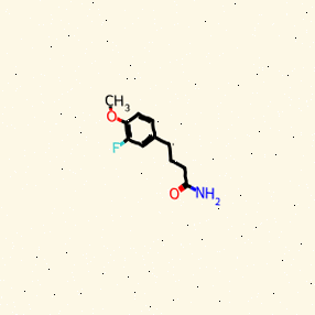 COc1ccc([CH]CCC(N)=O)cc1F